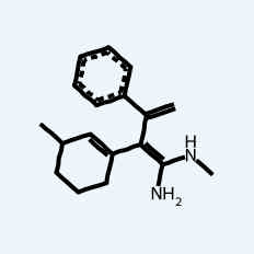 C=C(/C(C1=CC(C)CCC1)=C(/N)NC)c1ccccc1